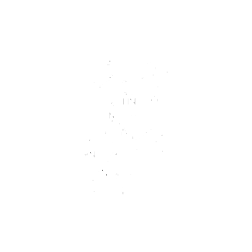 CCN(c1ccc(CN(C(=O)C(Cc2ccccc2)NC(=O)OC(C)(C)C)c2ccc(F)cc2)cn1)C1CC1